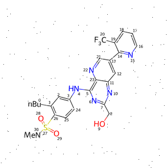 CCCCc1cc(Nc2nc(CO)nc3cc(-c4ncccc4C(F)(F)F)cnc23)ccc1S(=O)(=O)NC